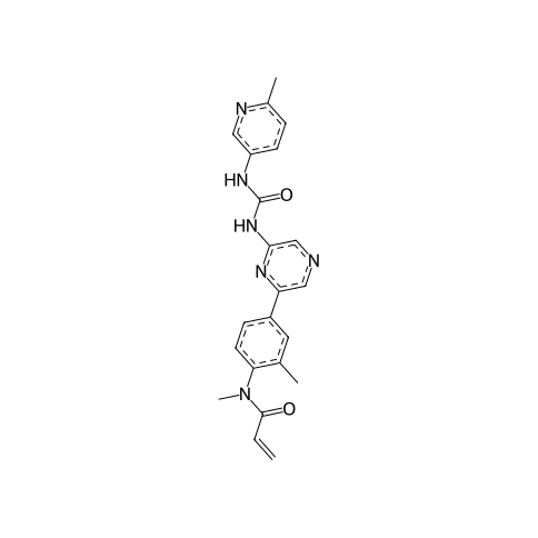 C=CC(=O)N(C)c1ccc(-c2cncc(NC(=O)Nc3ccc(C)nc3)n2)cc1C